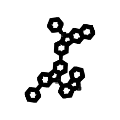 c1ccc(-c2ccc3c4cc(-c5ccc6c(c5)c5cc7ccccc7cc5n6-c5ccccc5)ccc4n(-c4cccc5sc6ccccc6c45)c3c2)cc1